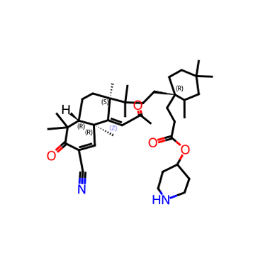 CC(=O)/C=C1/[C@@]2(C)C=C(C#N)C(=O)C(C)(C)[C@@H]2CC[C@@]1(C)C(C)(C)CC[C@@]1(CCC(=O)OC2CCNCC2)CCC(C)(C)CC1C